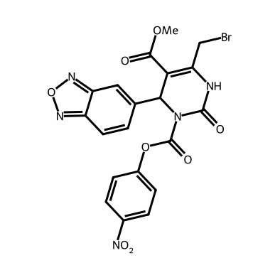 COC(=O)C1=C(CBr)NC(=O)N(C(=O)Oc2ccc([N+](=O)[O-])cc2)C1c1ccc2nonc2c1